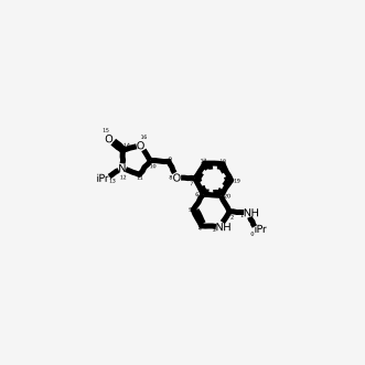 CC(C)NC1NC=Cc2c(OCC3CN(C(C)C)C(=O)O3)cccc21